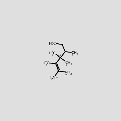 CCC(C)C(C)(C)C(C)=C(N)N